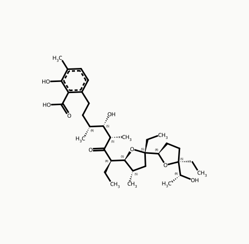 CC[C@@H](C(=O)[C@@H](C)[C@@H](O)[C@H](C)CCc1ccc(C)c(O)c1C(=O)O)[C@H]1O[C@](CC)([C@H]2CC[C@@](CC)([C@@H](C)O)O2)C[C@@H]1C